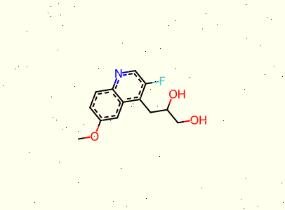 COc1ccc2ncc(F)c(CC(O)CO)c2c1